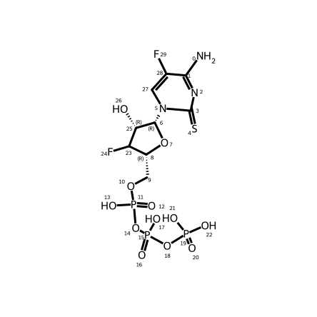 Nc1nc(=S)n([C@@H]2O[C@H](COP(=O)(O)OP(=O)(O)OP(=O)(O)O)C(F)[C@@H]2O)cc1F